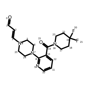 O=CC=CN1CCN(c2ncccc2C(=O)N2CCC(F)(F)CC2)CC1